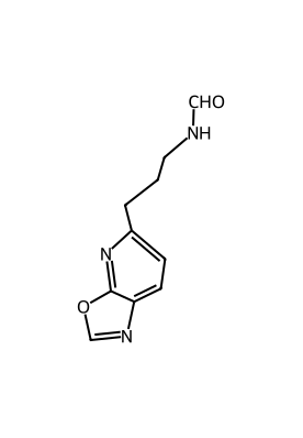 O=CNCCCc1ccc2ncoc2n1